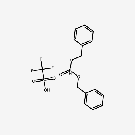 O=S(=O)(O)C(F)(F)F.O=[PH](OCc1ccccc1)OCc1ccccc1